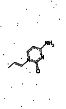 CC=Cn1ccc(N)nc1=O